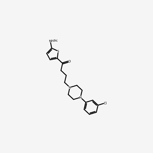 CC(=O)Nc1ccc(C(=O)CCCN2CCN(c3cccc(Cl)c3)CC2)s1